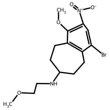 COCCNC1CCc2c(Br)cc([N+](=O)[O-])c(OC)c2CC1